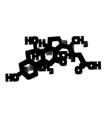 C[C@H](CCC(=O)O)[C@H]1CC[C@H]2[C@@H]3[C@H](O)CC4C[C@H](O)CC[C@]4(C)[C@H]3CC(=O)[C@]12C